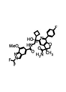 COc1cc(C(=O)NC[C@](O)(c2cc3c(c(-c4ccc(F)cc4)n2)OC[C@]3(C)C(N)=O)C2CCC2)cc2cn(C(F)F)nc12